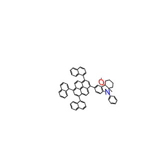 COC12CCCCC1(C)N(c1ccccc1)c1ccc(-c3cc(-c4cccc5ccccc45)c4ccc5c(-c6cccc7ccccc67)cc(-c6cccc7ccccc67)c6ccc3c4c65)cc12